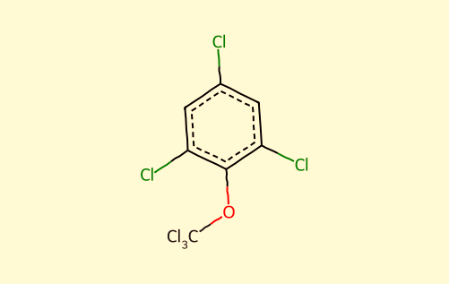 Clc1cc(Cl)c(OC(Cl)(Cl)Cl)c(Cl)c1